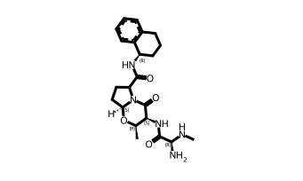 CN[C@@H](N)C(=O)N[C@@H]1C(=O)N2C(C(=O)N[C@@H]3CCCc4ccccc43)CC[C@@H]2O[C@@H]1C